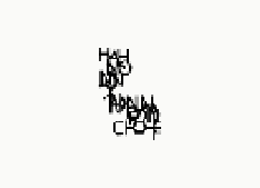 Cc1nc(N2C[C@H]3C[C@H]3C2=O)ncc1[C@H](C)n1cc(NC(=O)c2nccnc2-c2c(C(F)F)ccc(Cl)c2F)cn1